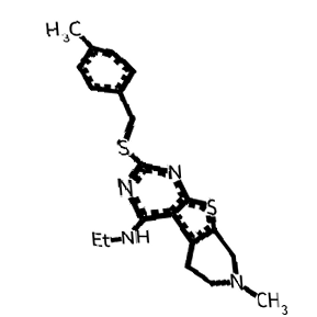 CCNc1nc(SCc2ccc(C)cc2)nc2sc3c(c12)CCN(C)C3